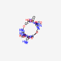 CN[C@@H](C)C(=O)N[C@H](C(=O)N1C[C@@H]2C[C@H]1C(=O)N[C@@H](Cc1ccc3ccccc3c1)C(=O)N[C@H](C(=O)O)Cc1ccc(cc1)OCC1=CN(NN1)[C@H]1C[C@@H](C(=O)N[C@@H](Cc3ccc4ccccc4c3)C(=O)N[C@H](C(=O)NCc3cccc(-c4nnn[nH]4)c3)Cc3ccc(cc3)OCc3cn2nn3)N(C(=O)[C@@H](NC(=O)[C@H](C)NC)C(C)(C)C)C1)C(C)(C)C